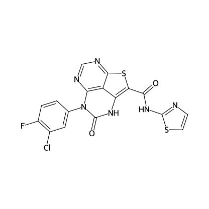 O=C(Nc1nccs1)c1sc2ncnc3c2c1NC(=O)N3c1ccc(F)c(Cl)c1